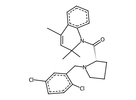 CC1=CC(C)(C)N(C(=O)[C@@H]2CCCN2Cc2cc(Cl)ccc2Cl)c2ccccc21